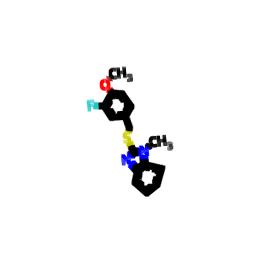 COc1ccc(CSc2nc3ccccc3n2C)cc1F